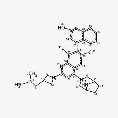 CN(C)CC1CN(c2nc(N3CC4CCC(C3)N4)c3cc(Cl)c(-c4cc(O)cc5ccccc45)c(F)c3n2)C1